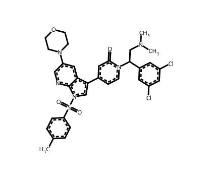 Cc1ccc(S(=O)(=O)n2cc(-c3ccn(C(CN(C)C)c4cc(Cl)cc(Cl)c4)c(=O)c3)c3cc(N4CCOCC4)cnc32)cc1